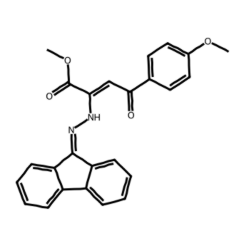 COC(=O)/C(=C/C(=O)c1ccc(OC)cc1)NN=C1c2ccccc2-c2ccccc21